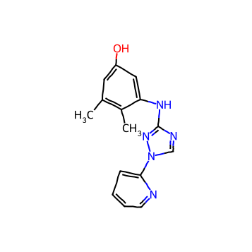 Cc1cc(O)cc(Nc2ncn(-c3ccccn3)n2)c1C